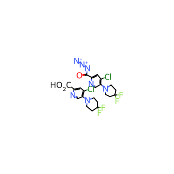 O=C(O)c1cc(Cl)c(N2CCC(F)(F)CC2)cn1.[N-]=[N+]=NC(=O)c1cc(Cl)c(N2CCC(F)(F)CC2)cn1